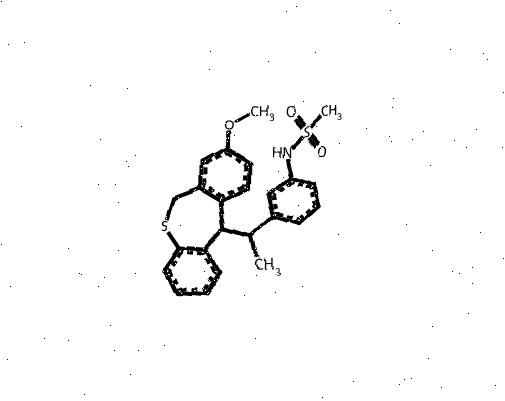 COc1ccc2c(c1)CSc1ccccc1C2C(C)c1cccc(NS(C)(=O)=O)c1